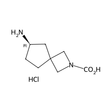 Cl.N[C@@H]1CCC2(C1)CN(C(=O)O)C2